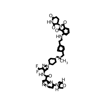 CN(Cc1ccc(CCNc2cccc3c2C(=O)N(C2CCC(=O)NC2=O)C3=O)cc1)C[C@H]1CC[C@H](n2cc(NC(=O)c3cnn4ccc(N5C[C@H]6C[C@@H]5CO6)nc34)c(C(F)F)n2)CC1